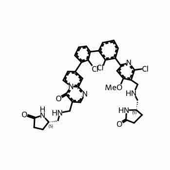 COc1cc(-c2cccc(-c3cccc(-c4ccn5c(=O)c(CNC[C@@H]6CCC(=O)N6)cnc5c4)c3Cl)c2Cl)nc(Cl)c1CNC[C@@H]1CCC(=O)N1